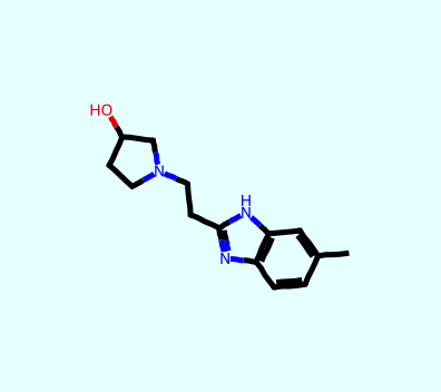 Cc1ccc2nc(CCN3CCC(O)C3)[nH]c2c1